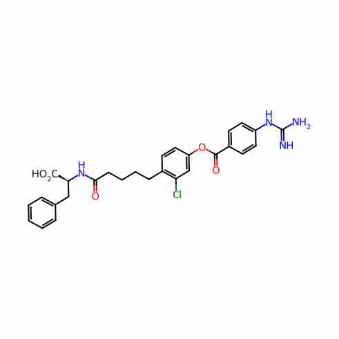 N=C(N)Nc1ccc(C(=O)Oc2ccc(CCCCC(=O)N[C@@H](Cc3ccccc3)C(=O)O)c(Cl)c2)cc1